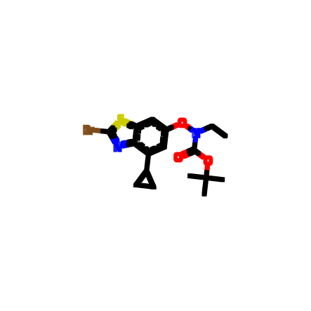 CCN(Oc1cc(C2CC2)c2nc(Br)sc2c1)C(=O)OC(C)(C)C